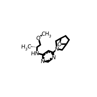 COC[C@@H](C)Nc1cc(N2CC3CCC(C2)O3)ncn1